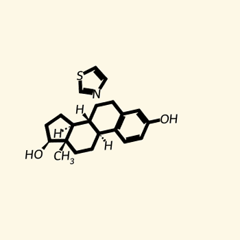 C[C@]12CC[C@@H]3c4ccc(O)cc4CC[C@H]3[C@@H]1CC[C@@H]2O.c1cscn1